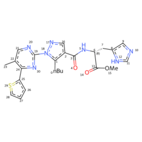 CCCCc1c(C(=O)N[C@H](Cc2cnc[nH]2)C(=O)OC)cnn1-c1ncc(C)c(-c2cccs2)n1